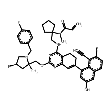 C#Cc1c(F)ccc2cc(O)cc(C3=Cc4nc(OC[C@]5(C)C[C@@H](F)CN5Cc5ccc(F)cc5)nc(NCC5(N(C)C(=O)C=C)CCCC5)c4CC3)c12